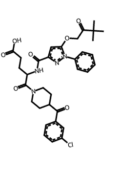 CC(C)(C)C(=O)COc1cc(C(=O)NC(CCC(=O)O)C(=O)N2CCC(C(=O)c3cccc(Cl)c3)CC2)nn1-c1ccccc1